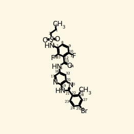 CCCS(=O)(=O)Nc1ccc(F)c(C(=O)Nc2cnc3[nH]c(-c4ccc(Br)cc4C)nc3c2)c1F